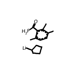 Cc1ccc(C)c(C(=O)P)c1C.[Li][CH]1CCCC1